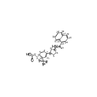 C[C@@H](N[C@H]1CC[C@@H](c2ccc(CCC(=O)O)c(C(F)(F)F)c2)C1)c1cccc2ccccc12